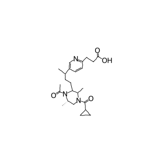 CC(=O)N1C(CCC(C)c2ccc(CCC(=O)O)nc2)C(C)N(C(=O)C2CC2)C[C@@H]1C